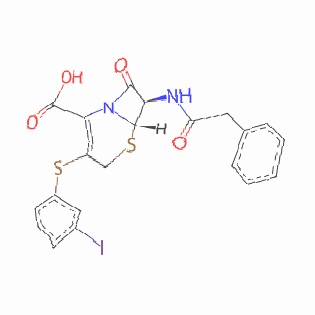 O=C(Cc1ccccc1)N[C@@H]1C(=O)N2C(C(=O)O)=C(Sc3cccc(I)c3)CS[C@@H]12